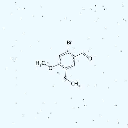 COc1cc(Br)c(C=O)cc1SC